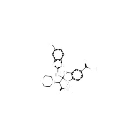 CN1c2ccc(C(=O)O)cc2NC1(Nc1nc2ccc(Cl)cc2s1)C(C(N)=O)N1CCOCC1